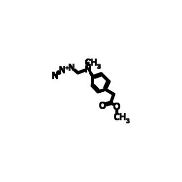 COC(=O)Cc1ccc(N(C)CN=[N+]=[N-])cc1